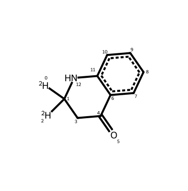 [2H]C1([2H])CC(=O)c2ccccc2N1